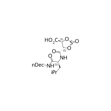 CCCCCCCCCCNC(=O)[C@H](CC(C)C)NC(=O)[C@H]1OS(=O)O[C@@H]1C(=O)O